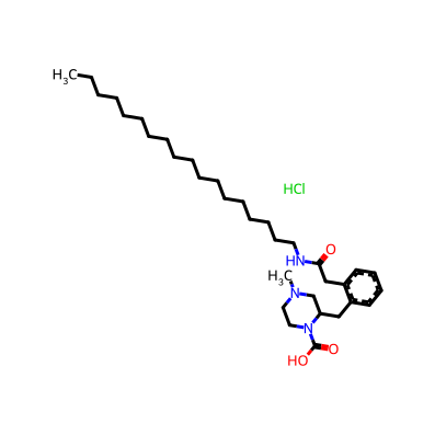 CCCCCCCCCCCCCCCCCCNC(=O)Cc1ccccc1CC1CN(C)CCN1C(=O)O.Cl